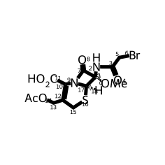 CO[C@@]1(NC(=O)CBr)C(=O)N2C(C(=O)O)=C(COC(C)=O)CS[C@@H]21